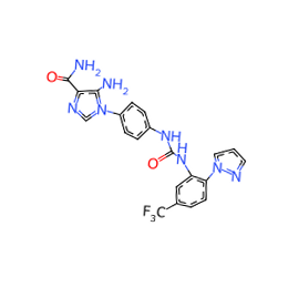 NC(=O)c1ncn(-c2ccc(NC(=O)Nc3cc(C(F)(F)F)ccc3-n3cccn3)cc2)c1N